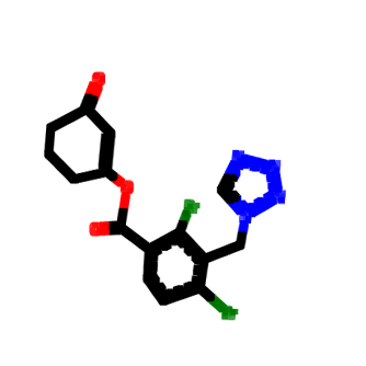 O=C1C=C(OC(=O)c2ccc(Br)c(Cn3cnnn3)c2Br)CCC1